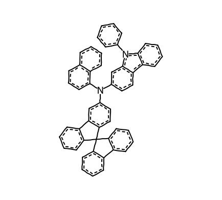 c1ccc(-n2c3ccccc3c3ccc(N(c4ccc5c(c4)-c4ccccc4C54c5ccccc5-c5ccccc54)c4cccc5ccccc45)cc32)cc1